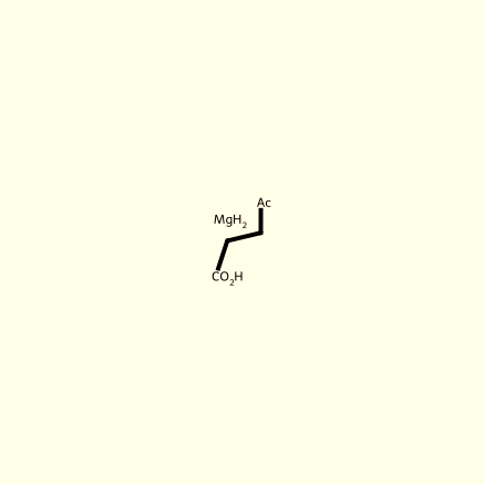 CC(=O)CCC(=O)O.[MgH2]